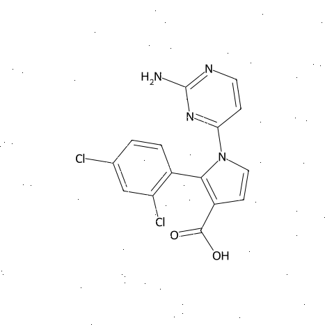 Nc1nccc(-n2ccc(C(=O)O)c2-c2ccc(Cl)cc2Cl)n1